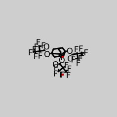 O=C(OC12CC3CC(OC(=O)C(F)(C(F)(F)F)C(F)(F)F)(C1)C(F)C(OC(=O)C(F)(C(F)(F)F)C(F)(F)F)(C3)C2)C(F)(C(F)(F)F)C(F)(F)F